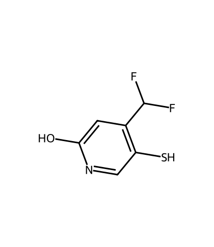 Oc1cc(C(F)F)c(S)cn1